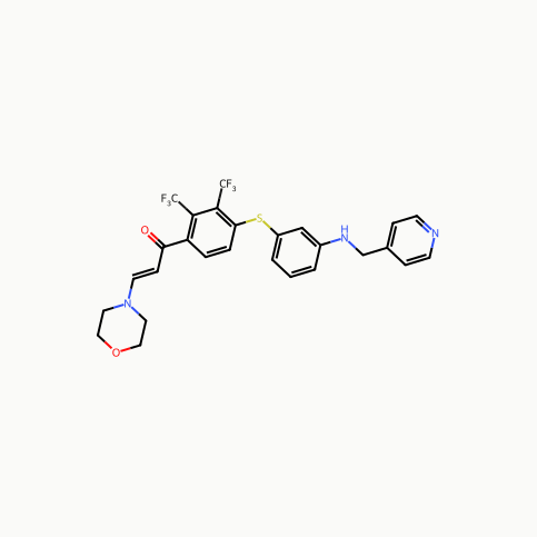 O=C(C=CN1CCOCC1)c1ccc(Sc2cccc(NCc3ccncc3)c2)c(C(F)(F)F)c1C(F)(F)F